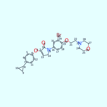 O=C1C(Oc2ccc(C3CC3)cc2)=CCN1c1ccc(OCCN2CCOCC2)c(Br)c1